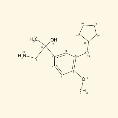 COc1ccc(C(C)(O)CN)cc1OC1CCCC1